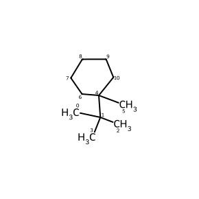 CC(C)(C)C1(C)CCCCC1